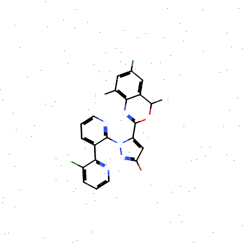 Cc1cc(Cl)cc2c1N=C(c1cc(Br)nn1-c1ncccc1-c1ncccc1Cl)OC2C=O